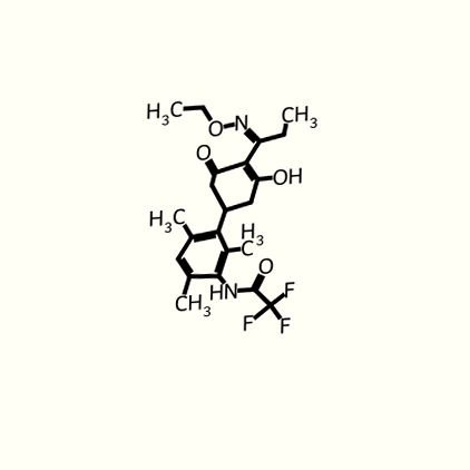 CCO/N=C(/CC)C1=C(O)CC(c2c(C)cc(C)c(NC(=O)C(F)(F)F)c2C)CC1=O